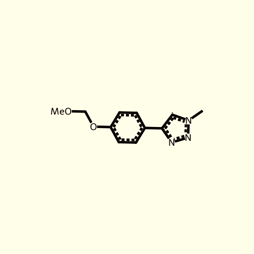 COCOc1ccc(-c2[c]n(C)nn2)cc1